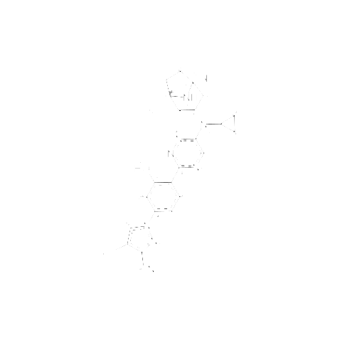 N#Cc1nn(-c2ccc(-c3ncc(N(C4CC4)[C@@H]4C[C@H]5CC[C@@H](C4)N5)nn3)c(O)c2)cc1F